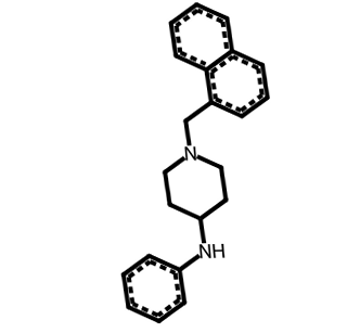 c1ccc(NC2CCN(Cc3cccc4ccccc34)CC2)cc1